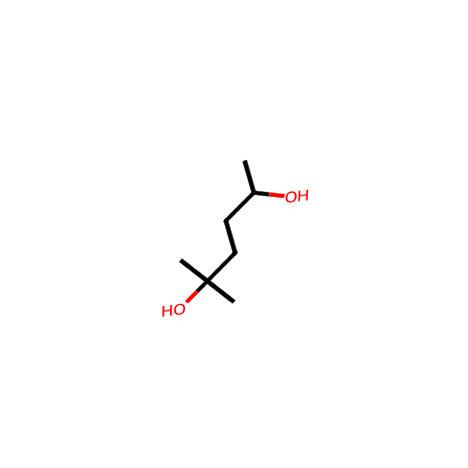 CC(O)CCC(C)(C)O